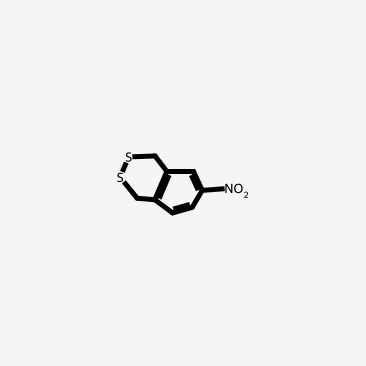 O=[N+]([O-])c1ccc2c(c1)CSSC2